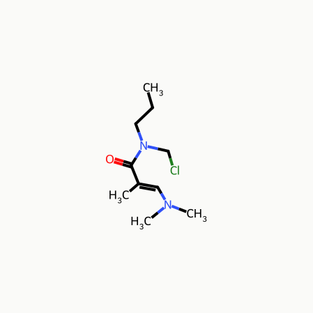 CCCN(CCl)C(=O)C(C)=CN(C)C